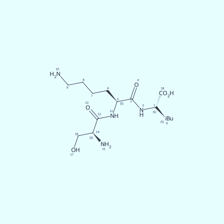 CC[C@H](C)[C@H](NC(=O)[C@H](CCCCN)NC(=O)[C@@H](N)CO)C(=O)O